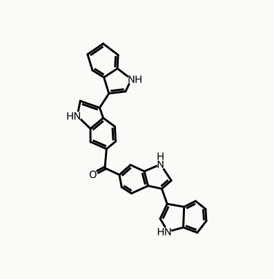 O=C(c1ccc2c(-c3c[nH]c4ccccc34)c[nH]c2c1)c1ccc2c(-c3c[nH]c4ccccc34)c[nH]c2c1